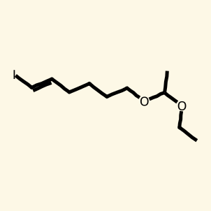 CCOC(C)OCCCCC=CI